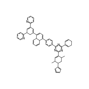 CC1CC(C2=CC=C=C2)C(C)C=C1c1nc(C2=CCCC=C2)nc(-c2ccc(C3=CC=C(C4=CC(c5ccccn5)=CC(c5ccccn5)C4)C4C=CC=CC34)cc2)n1